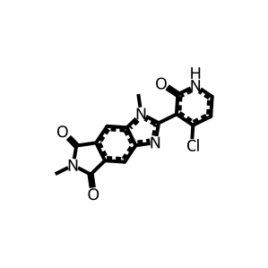 CN1C(=O)c2cc3nc(-c4c(Cl)cc[nH]c4=O)n(C)c3cc2C1=O